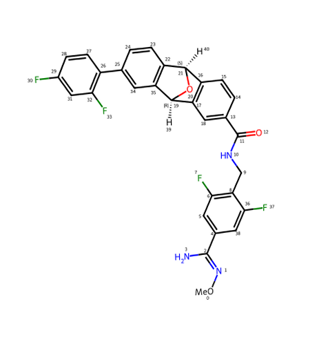 CON=C(N)c1cc(F)c(CNC(=O)c2ccc3c(c2)[C@@H]2O[C@H]3c3ccc(-c4ccc(F)cc4F)cc32)c(F)c1